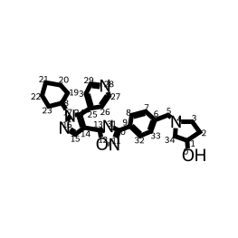 OC1CCN(Cc2ccc(-c3noc(-c4cnn(C5CCCCC5)c4-c4ccncc4)n3)cc2)C1